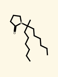 CCCCCCC(C)(CCCCCC)N1CCCC1=O